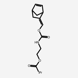 CC(C)C(=O)OCCNC(=O)OC=C1CC2C=CC1C2